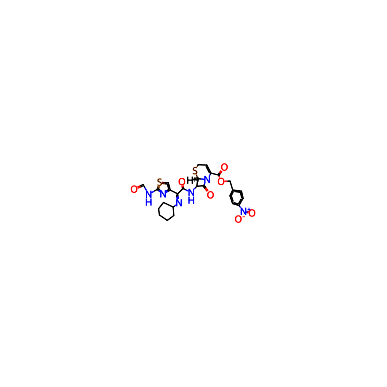 O=CNc1nc(C(=NC2CCCCC2)C(=O)NC2C(=O)N3C(C(=O)OCc4ccc([N+](=O)[O-])cc4)=CCS[C@@H]23)cs1